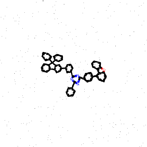 c1ccc(-c2nc(-c3ccc(-c4cccc5oc6ccccc6c45)cc3)nc(-c3cccc(-c4ccc5c(c4)C(c4ccccc4)(c4ccccc4)c4ccccc4-5)c3)n2)cc1